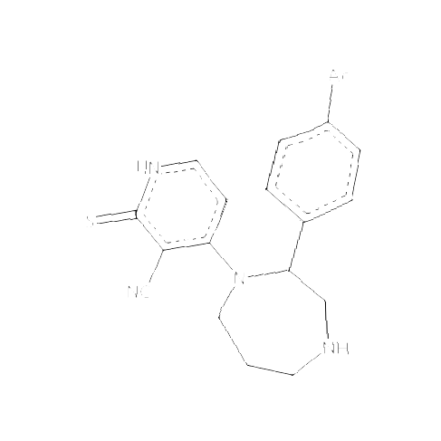 CC(=O)c1ccc(C2CNCCCN2c2cc[nH]c(=S)c2C#N)cc1